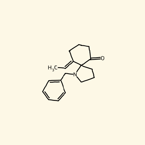 C/C=C1\CCCC(=O)C12CCCN2Cc1ccccc1